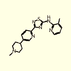 Cc1cccnc1Nc1nc(-c2ccc(C3CCN(C)CC3)cn2)ns1